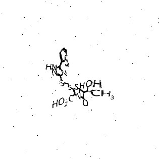 C[C@@H](O)[C@H]1C(=O)N2C(C(=O)O)=C(SCSc3n[nH]c(-c4cccs4)n3)S[C@H]12